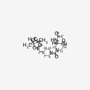 CC1(C)OB(C=C2CCN(C(=O)N3CC[C@@H]4OCC(=O)N[C@@H]4C3)CC2)OC1(C)C